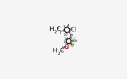 C=Cc1ccc(Cl)c(Cc2ccc(OCC)c(F)c2F)c1